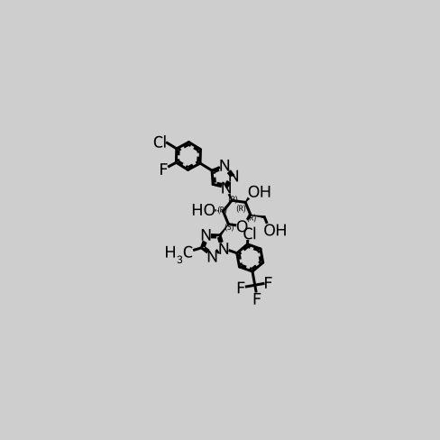 Cc1nc([C@@H]2O[C@H](CO)[C@H](O)[C@H](n3cc(-c4ccc(Cl)c(F)c4)nn3)[C@H]2O)n(-c2cc(C(F)(F)F)ccc2Cl)n1